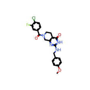 COc1ccc(CNc2nc3c(c(=O)[nH]2)CCN(C(=O)c2ccc(Cl)c(F)c2)C3)cc1